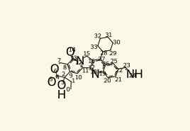 CCC1(O)C(=O)OCc2c1cc1n(c2=O)Cc2c-1nc1ccc(C=N)cc1c2C1CCCCC1